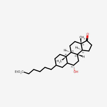 CCOC(=O)CCCCCC1CC[C@@]2(C)C(C1)[C@@H](O)C[C@@H]1[C@@H]2CC[C@]2(C)C(=O)CC[C@@H]12